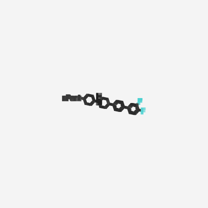 CCCCCC1CCC([SiH]2CCC(c3ccc(-c4ccc(F)c(F)c4)cc3)CC2)CC1